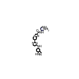 N/C=C\C(=C/N)NC(=O)c1cn2ccc(-c3nccc(Nc4ccc5[nH]ncc5c4)n3)cc2n1